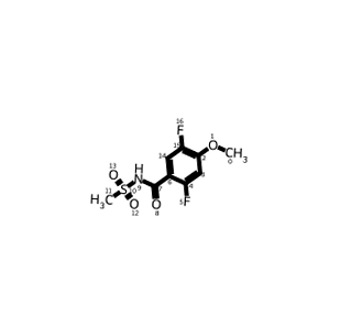 COc1cc(F)c(C(=O)NS(C)(=O)=O)cc1F